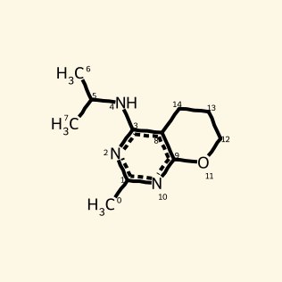 Cc1nc(NC(C)C)c2c(n1)OCCC2